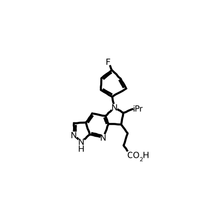 CC(C)C1C(CCC(=O)O)c2nc3[nH]ncc3cc2N1c1ccc(F)cc1